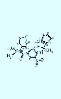 CCC(C)(Oc1ccc(C(=O)N(C(C)C)C2CCCCC2)cc1[N+](=O)[O-])c1ccccc1